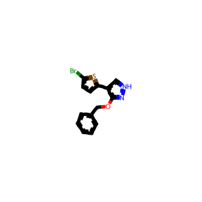 Brc1ccc(-c2c[nH]nc2OCc2ccccc2)s1